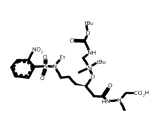 CCN(CCC[C@H](CC(=O)NN(C)CC(=O)O)O[Si](C)(CNC(=O)OC(C)(C)C)C(C)(C)C)S(=O)(=O)c1ccccc1[N+](=O)[O-]